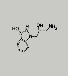 NCC(O)CN1NN(O)c2ccccc21